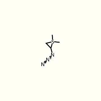 CS1(C)CC1N=[N+]=[N-]